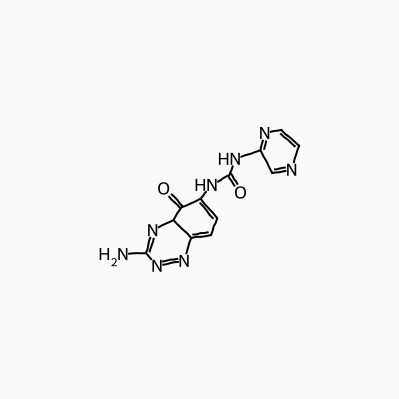 NC1=NC2C(=O)C(NC(=O)Nc3cnccn3)=CC=C2N=N1